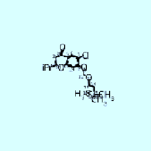 CC(C)C1CC(=O)c2cc(Cl)c(OCOCC[Si](C)(C)C)cc2O1